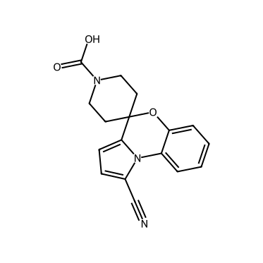 N#Cc1ccc2n1-c1ccccc1OC21CCN(C(=O)O)CC1